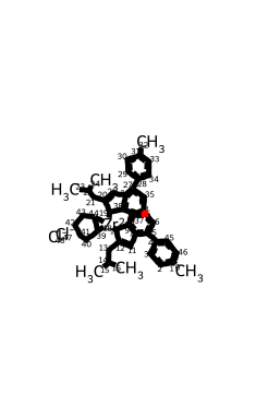 Cc1ccc(-c2cccc3c2C=C(CC(C)C)[CH]3[Zr+2]2([CH]3C(CC(C)C)=Cc4c(-c5ccc(C)cc5)cccc43)[CH]3CCCC[CH]32)cc1.[Cl-].[Cl-]